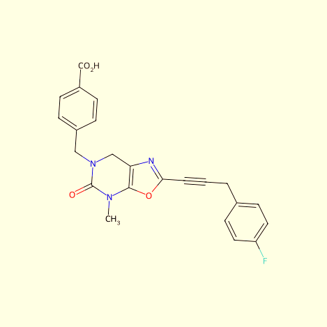 CN1C(=O)N(Cc2ccc(C(=O)O)cc2)Cc2nc(C#CCc3ccc(F)cc3)oc21